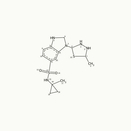 CC1NNC(N2CNc3ccc(S(=O)(=O)NC4(C)CC4)cc32)S1